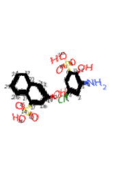 Nc1cc(Cl)cc(S(=O)(=O)O)c1O.O=S(=O)(O)c1cc(O)cc2ccccc12